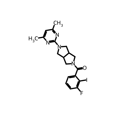 Cc1cc(C)nc(N2CC3CN(C(=O)c4cccc(F)c4I)CC3C2)n1